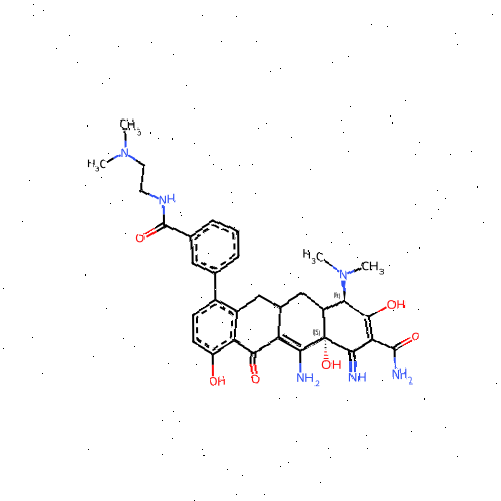 CN(C)CCNC(=O)c1cccc(-c2ccc(O)c3c2CC2CC4[C@@H](N(C)C)C(O)=C(C(N)=O)C(=N)[C@@]4(O)C(N)=C2C3=O)c1